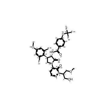 COCC(CO)n1nccc(N2C[C@@H](c3c(F)cc(OC)cc3F)[C@H](NC(=O)c3ccc(OC(F)(F)F)cc3)C2=O)c1=O